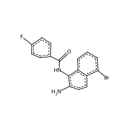 Nc1ccc2c(Br)cccc2c1NC(=O)c1ccc(F)cc1